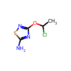 CC(Cl)Oc1nsc(N)n1